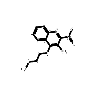 COCCOc1c(N)c([N+](=O)[O-])nc2ccccc12